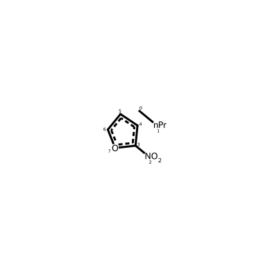 CCCC.O=[N+]([O-])c1ccco1